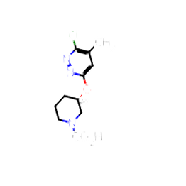 Cc1cc(O[C@@H]2CCCN(C(=O)O)C2)nnc1Cl